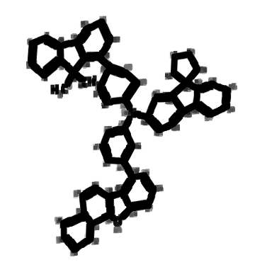 CC1(C)c2ccccc2-c2cccc(-c3ccc(N(c4cccc(-c5cccc6oc7c8ccccc8ccc7c56)c4)c4ccc5c(c4)C4(CCCC4)c4ccccc4-5)cc3)c21